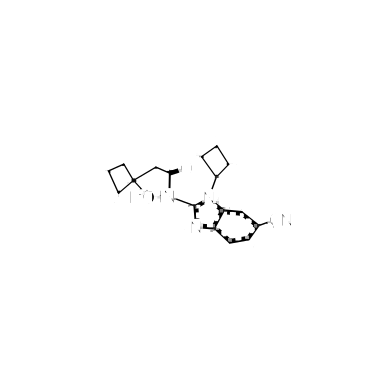 C[C@H](C(=O)Nc1nc2ccc(C#N)cc2n1C1CCC1)C1(O)CCC1